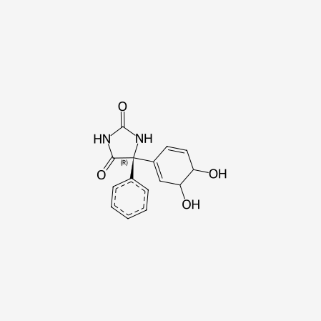 O=C1NC(=O)[C@](C2=CC(O)C(O)C=C2)(c2ccccc2)N1